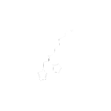 O=C(O)CCCCO/N=C(/Cn1ccnc1)c1cccs1